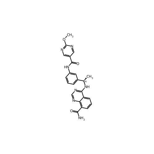 COc1ncc(C(=O)Nc2cccc([C@@H](C)Nc3ncnc4c(C(N)=O)cccc34)c2)cn1